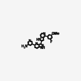 COc1cc(F)cc(-c2nccc3[nH]c(-c4n[nH]c5ccc(-c6cncc(N)c6)nc45)cc23)c1